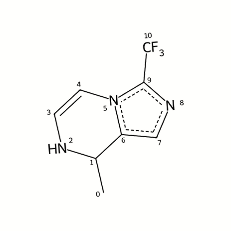 CC1NC=Cn2c1cnc2C(F)(F)F